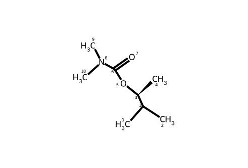 CC(C)[C@H](C)OC(=O)N(C)C